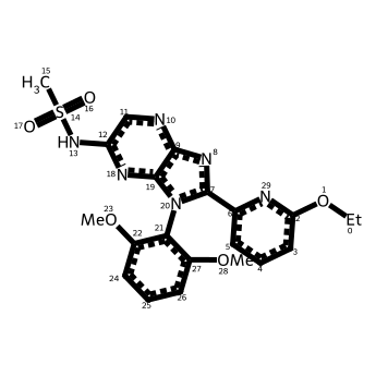 CCOc1cccc(-c2nc3ncc(NS(C)(=O)=O)nc3n2-c2c(OC)cccc2OC)n1